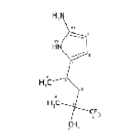 CC(CC(C)(C)C(F)(F)F)c1ccc(N)[nH]1